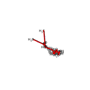 CCCCCCCC/C=C/CCCCCCCC(=O)OCC(COP(=O)(O)OCCNC(=O)CCCCC(=O)NCCCO[C@@H]1OC(CO)[C@H](O)[C@H](O[C@@H]2OC(CO)[C@H](O)[C@H](O)C2NC(C)=O)C1O[C@@H]1OC(C)[C@@H](O)[C@H](O)C1O)OC(=O)CCCCCCC/C=C/CCCCCCCC